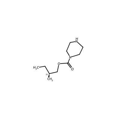 CC[C@H](C)COC(=O)N1CCNCC1